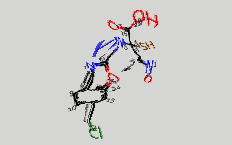 O=NCC(S)(Nc1nc2ccc(Cl)cc2o1)C(=O)O